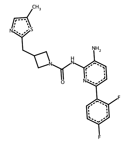 Cc1cnc(CC2CN(C(=O)Nc3nc(-c4ccc(F)cc4F)ccc3N)C2)s1